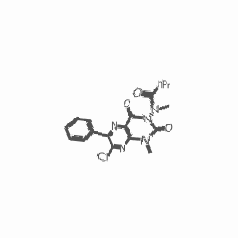 CCCC(=O)N(C)n1c(=O)c2nc(-c3ccccc3)c(Cl)nc2n(C)c1=O